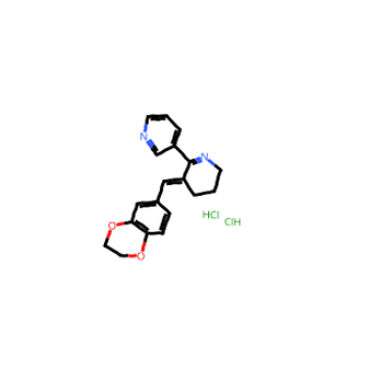 C(=C1CCCN=C1c1cccnc1)c1ccc2c(c1)OCCO2.Cl.Cl